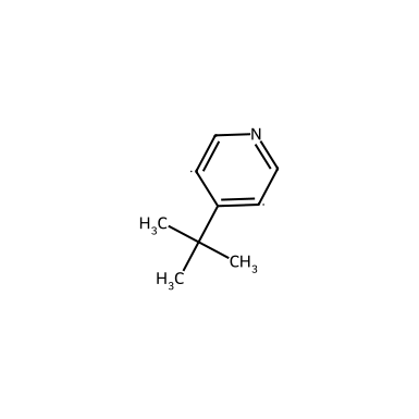 CC(C)(C)c1[c]cnc[c]1